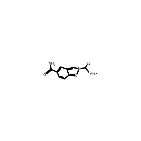 CCCCCCC(CC)n1cc2cc(C(N)=O)ccc2n1